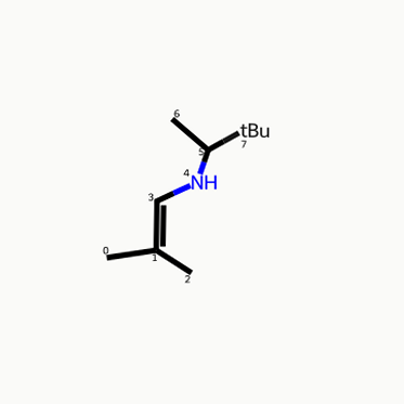 CC(C)=CNC(C)C(C)(C)C